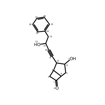 O=C1CC2C1CC(O)C2C#CC(O)Cc1ccccc1